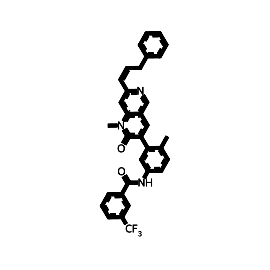 Cc1ccc(NC(=O)c2cccc(C(F)(F)F)c2)cc1-c1cc2cnc(/C=C\Cc3ccccc3)cc2n(C)c1=O